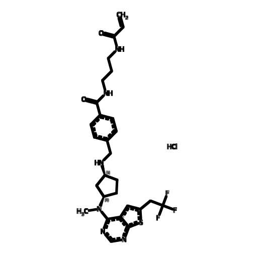 C=CC(=O)NCCCNC(=O)c1ccc(CN[C@H]2CC[C@@H](N(C)c3ncnc4sc(CC(F)(F)F)cc34)C2)cc1.Cl